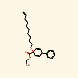 C=CCCCCCCCCOC1(C(=O)OCC(C)CC)C=CC(c2ccccc2)C=C1